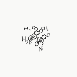 CCOc1cc(C(CS(C)(=O)=O)n2c(=O)n(CC#N)c3cc(Cl)ccc32)ccc1OC